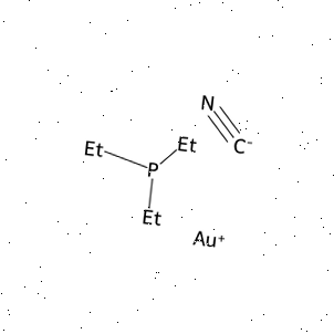 CCP(CC)CC.[Au+].[C-]#N